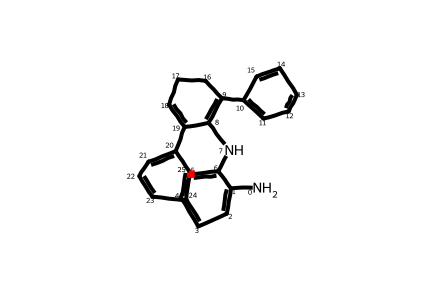 Nc1ccccc1NC1=C(c2ccccc2)CCC=C1c1ccccc1